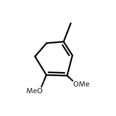 COC1=C(OC)CCC(C)=C1